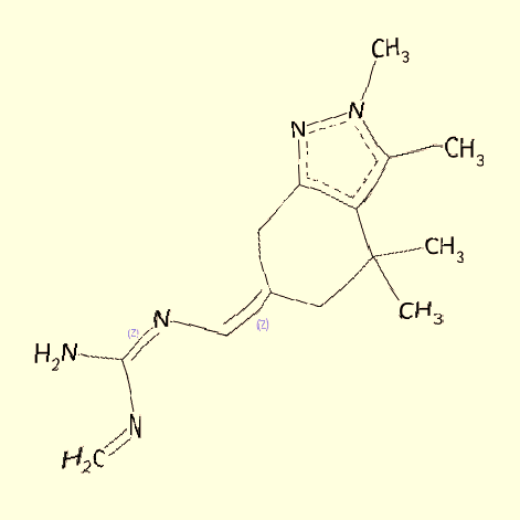 C=N/C(N)=N\C=C1/Cc2nn(C)c(C)c2C(C)(C)C1